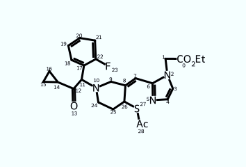 CCOC(=O)Cn1ccnc1/C=C1/CN(C(C(=O)C2CC2)c2ccccc2F)CCC1SC(C)=O